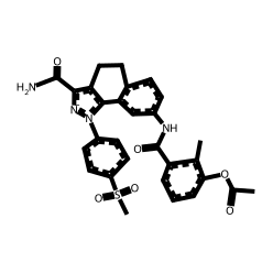 CC(=O)Oc1cccc(C(=O)Nc2ccc3c(c2)-c2c(c(C(N)=O)nn2-c2ccc(S(C)(=O)=O)cc2)CC3)c1C